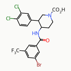 O=C(NC1CCN(C(=O)O)CC1c1ccc(Cl)c(Cl)c1)c1cc(Br)cc(C(F)(F)F)c1